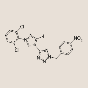 O=[N+]([O-])c1ccc(Cn2nnc(-c3cn(-c4c(Cl)cccc4Cl)nc3I)n2)cc1